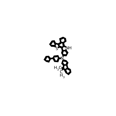 CC1(C)c2ccccc2-c2ccc(N(c3ccc(-c4ccccc4)cc3)c3ccc4[nH]c5c6ccccc6c6c7ccccc7sc6c5c4c3)cc21